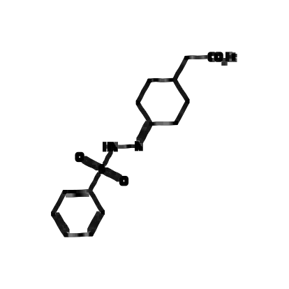 CCOC(=O)CC1CCC(=NNS(=O)(=O)c2ccccc2)CC1